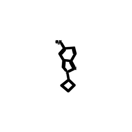 O=[N+]([O-])c1ccc2nn(C3CCC3)cc2c1